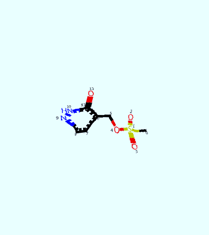 CS(=O)(=O)OCc1ccn[nH]c1=O